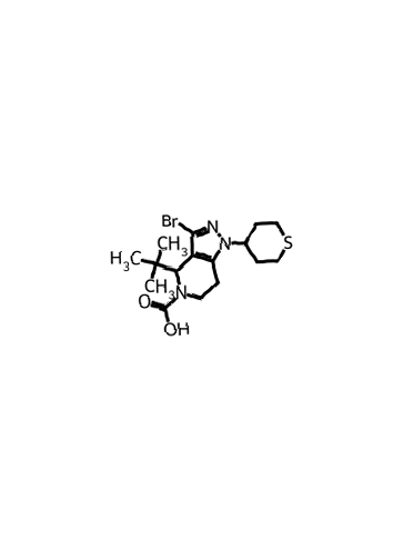 CC(C)(C)C1c2c(Br)nn(C3CCSCC3)c2CCN1C(=O)O